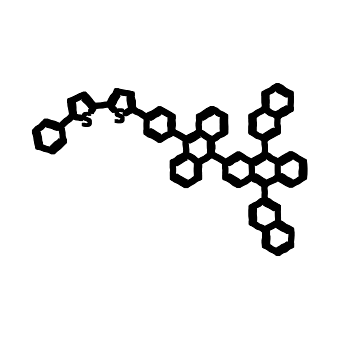 c1ccc(-c2ccc(-c3ccc(-c4ccc(-c5c6ccccc6c(-c6ccc7c(-c8ccc9ccccc9c8)c8ccccc8c(-c8ccc9ccccc9c8)c7c6)c6ccccc56)cc4)s3)s2)cc1